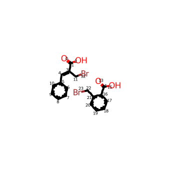 O=C(O)C(=Cc1ccccc1)CBr.O=C(O)c1ccccc1CBr